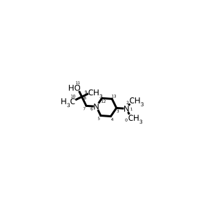 CN(C)C1CCN(CC(C)(C)O)CC1